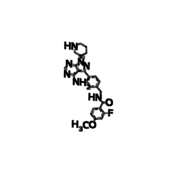 COc1ccc(C(=O)NCc2ccc(-c3nn([C@@H]4CCCNC4)c4ncnc(N)c34)cc2)c(F)c1